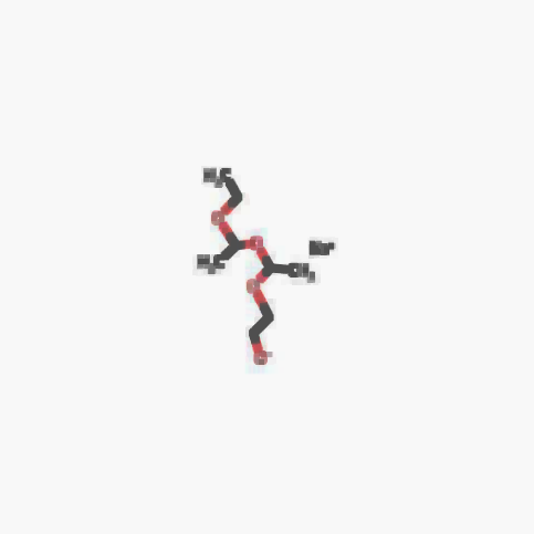 CCOC(C)OC(C)OCC[O-].[Na+]